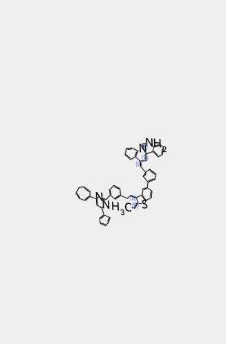 C/C=c1/sc2ccc(-c3cccc(\C=C(/C=C(\N=C/N)c4ccccc4)c4ccccc4)c3)cc2/c1=C/Cc1cccc(-c2nc(C3=CC=CCC=C3)cc(-c3ccccc3)n2)c1